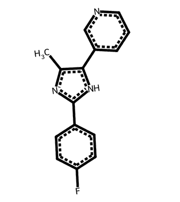 Cc1nc(-c2ccc(F)cc2)[nH]c1-c1cccnc1